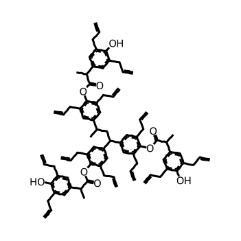 C=CCc1cc(C(C)C(=O)Oc2c(CC=C)cc(C(C)CC(c3cc(CC=C)c(OC(=O)C(C)c4cc(CC=C)c(O)c(CC=C)c4)c(CC=C)c3)c3cc(CC=C)c(OC(=O)C(C)c4cc(CC=C)c(O)c(CC=C)c4)c(CC=C)c3)cc2CC=C)cc(CC=C)c1O